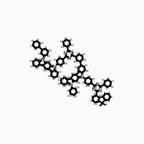 CC1(C)c2ccccc2-c2c(-c3nc(-c4ccccc4)nc(-c4ccc(-n5c6ccc(-c7cccc(-c8nc(-c9ccccc9)nc(-c9ccc(-n%10c%11ccccc%11c%11cc%12c%13ccccc%13n(-c%13cccc(-c%14ccccc%14)c%13)c%12cc%11%10)cc9)n8)c7)cc6c6cc7c8ccccc8n(-c8ccccc8)c7cc65)cc4)n3)cccc21